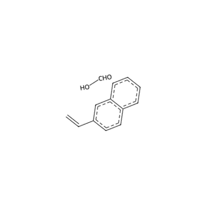 C=Cc1ccc2ccccc2c1.O=CO